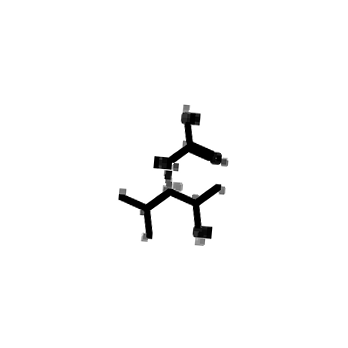 CC(C)[C@H](NC(=O)O)C(C)O